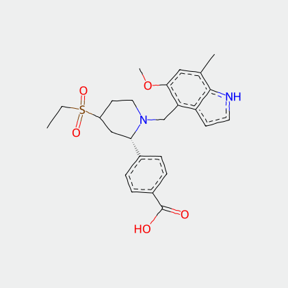 CCS(=O)(=O)C1CCN(Cc2c(OC)cc(C)c3[nH]ccc23)[C@H](c2ccc(C(=O)O)cc2)C1